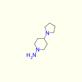 NN1CCC(N2CCCC2)CC1